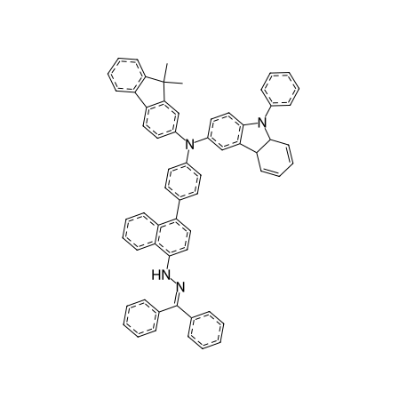 CC1(C)c2ccccc2-c2ccc(N(c3ccc(-c4ccc(NN=C(c5ccccc5)c5ccccc5)c5ccccc45)cc3)c3ccc4c(c3)C3C=CC=CC3N4c3ccccc3)cc21